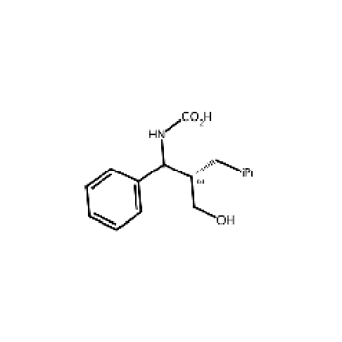 CC(C)C[C@H](CO)[C](NC(=O)O)c1ccccc1